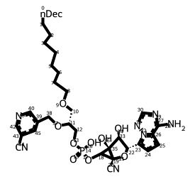 CCCCCCCCCCCCCCCCCCOC[C@H](COP(=O)(O)OC1[C@@]2(C#N)O[C@@H](c3ccc4c(N)ncnn34)[C@H](O)[C@@]12O)OCc1cncc(C#N)c1